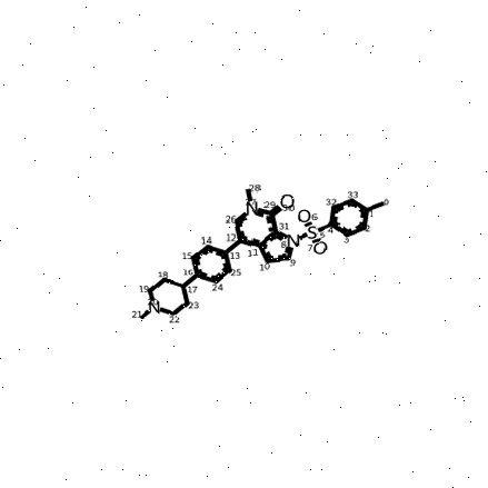 Cc1ccc(S(=O)(=O)n2ccc3c(-c4ccc(C5CCN(C)CC5)cc4)cn(C)c(=O)c32)cc1